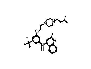 Cc1cc(Nc2cc(OCCN3CCN(CCC(C)C)CC3)cc(C(F)(F)F)c2)c2ccccc2n1